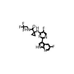 O=C(NCC(F)(F)F)C1(Nc2nc(-c3c[nH]c4ncc(F)cc34)ncc2F)CC1